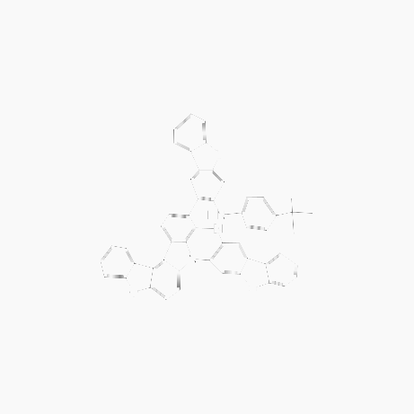 CC(C)(C)c1ccc(Nc2cc3sc4ccccc4c3cc2-c2ccc3c4c5c(ccc4n4c3c2Bc2cc3c(cc2-4)oc2ccccc23)oc2ccccc25)cc1